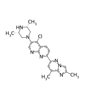 Cc1cn2nc(-c3ccc4c(Cl)c(N5C[C@@H](C)N[C@@H](C)C5)cnc4n3)cc(C)c2n1